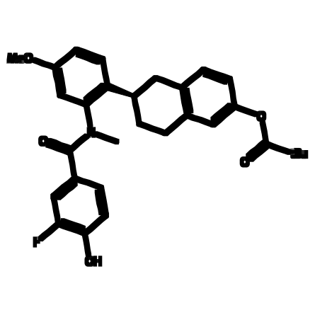 COc1ccc([C@@H]2CCc3cc(OC(=O)C(C)(C)C)ccc3C2)c(N(C)C(=O)c2ccc(O)c(F)c2)c1